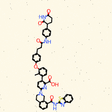 Cc1c(Oc2ccc(CCC(=O)Nc3ccc(C4CCC(=O)NC4=O)cc3)cc2)cccc1-c1ccc(N2CCc3cccc(C(=O)Nc4nc5ccccc5s4)c3C2)nc1C(=O)O